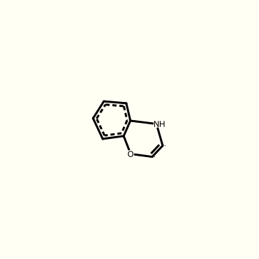 [C]1=[C]Oc2ccccc2N1